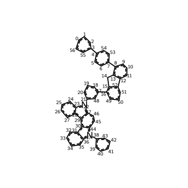 c1ccc(-c2ccc(-c3cccc4c3Cc3c(-c5cccc(-n6c7ccccc7c7c8c9ccccc9n(-c9ccccc9)c8ccc76)c5)cccc3-4)cc2)cc1